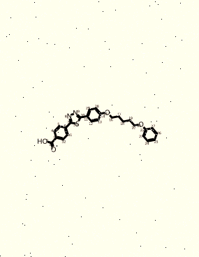 O=C(O)c1ccc(-c2nnc(-c3ccc(OCCCCCOc4ccccc4)cc3)s2)cc1